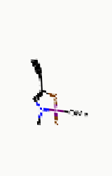 C#CC1=CN(C)P(=S)(OC)S1